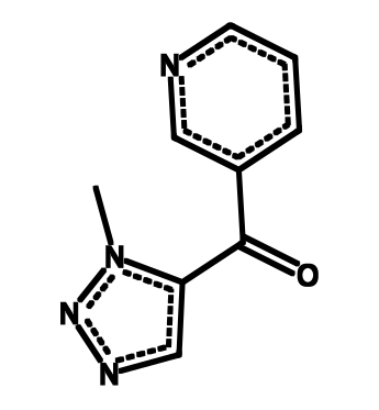 Cn1nncc1C(=O)c1cccnc1